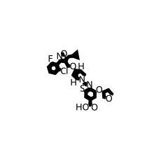 O=C(O)C1=Cc2sc(N3C[C@@H]4C[C@H]3C[C@H]4OCc3c(-c4c(F)cccc4Cl)noc3C3CC3)nc2C(O[C@@H]2CCOC2)C1